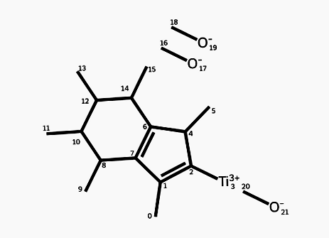 CC1=[C]([Ti+3])C(C)C2=C1C(C)C(C)C(C)C2C.C[O-].C[O-].C[O-]